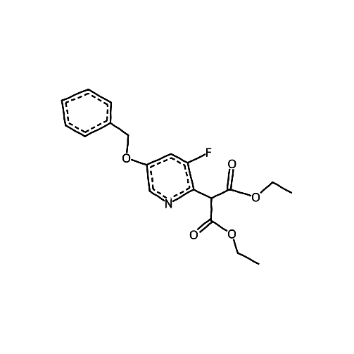 CCOC(=O)C(C(=O)OCC)c1ncc(OCc2ccccc2)cc1F